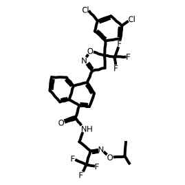 CC(C)ON=C(CNC(=O)c1ccc(C2=NOC(c3cc(Cl)cc(Cl)c3)(C(F)(F)F)C2)c2ccccc12)C(F)(F)F